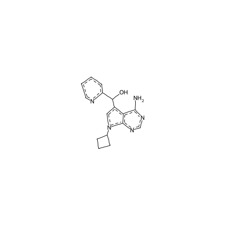 Nc1ncnc2c1c(C(O)c1ccccn1)cn2C1CCC1